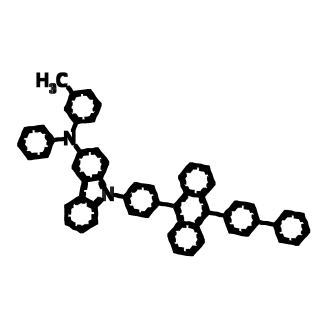 Cc1cccc(N(c2ccccc2)c2ccc3c(c2)c2ccccc2n3-c2ccc(-c3c4ccccc4c(-c4ccc(-c5ccccc5)cc4)c4ccccc34)cc2)c1